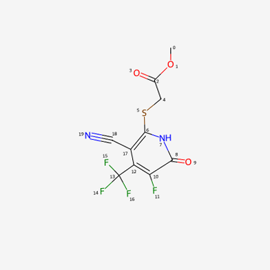 COC(=O)CSc1[nH]c(=O)c(F)c(C(F)(F)F)c1C#N